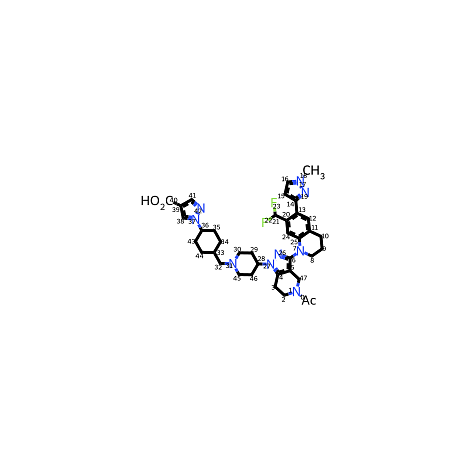 CC(=O)N1CCc2c(c(N3CCCc4cc(-c5ccn(C)n5)c(C(F)F)cc43)nn2C2CCN(CC3CCC(n4cc(C(=O)O)cn4)CC3)CC2)C1